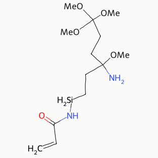 C=CC(=O)N[SiH2]CCC(N)(CCC(OC)(OC)OC)OC